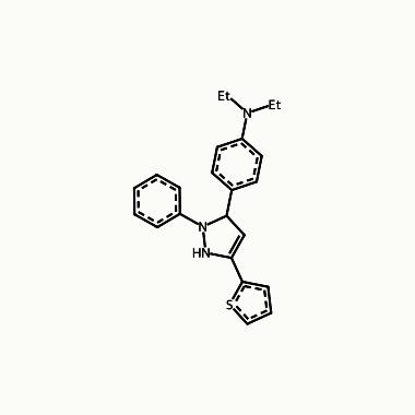 CCN(CC)c1ccc(C2C=C(c3cccs3)NN2c2ccccc2)cc1